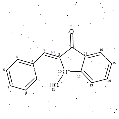 O=C1/C(=C/c2ccccc2)[O+](O)c2ccccc21